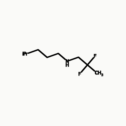 CC(C)CCCNCC(C)(F)F